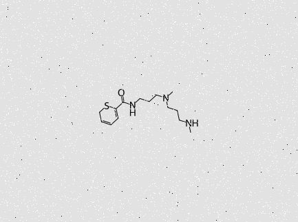 CNCCCN(C)CCCNC(=O)C1=CC=CCS1